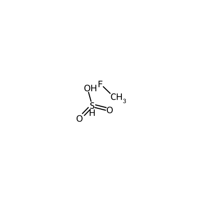 CF.O=[SH](=O)O